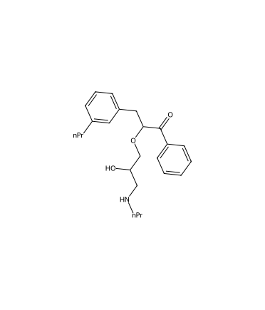 CCCNCC(O)COC(Cc1cccc(CCC)c1)C(=O)c1ccccc1